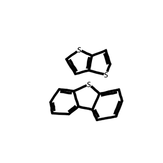 c1cc2sccc2s1.c1ccc2c(c1)sc1ccccc12